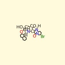 Cc1nc2ccc(Br)cn2c(=O)c1CCN1C[C@@H]2COc3ccc4ccccc4c3[C@@H]2C1.O=C(O)/C=C/C(=O)O